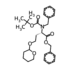 CC(C)(C)OC(=O)N(Cc1ccccc1)[C@@H](CCOC1CCCCO1)C(=O)OCc1ccccc1